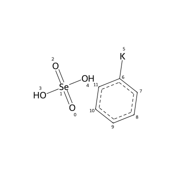 O=[Se](=O)(O)O.[K][c]1ccccc1